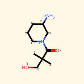 CC(C)(CO)C(=O)N1CCCC(N)C1